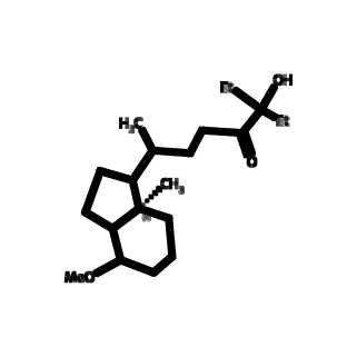 CCC(O)(CC)C(=O)CCC(C)C1CCC2C(OC)CCC[C@]12C